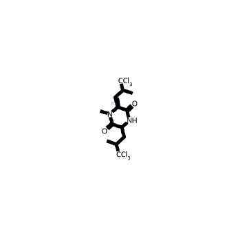 CC(/C=C1\C(=O)NC(CC(C)C(Cl)(Cl)Cl)C(=O)N1C)C(Cl)(Cl)Cl